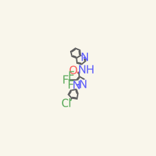 O=C(Nc1cnc2ccccc2c1)c1cnn(-c2ccc(Cl)cc2)c1C(F)(F)F